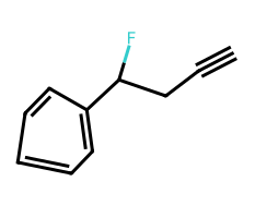 C#CCC(F)c1ccccc1